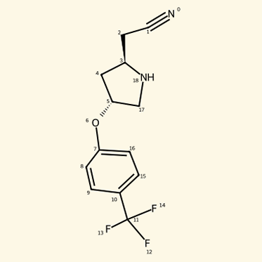 N#CC[C@@H]1C[C@@H](Oc2ccc(C(F)(F)F)cc2)CN1